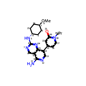 CO[C@H]1CC[C@H](Nc2ncc3c(N)ncc(-c4ccn(C(C)C)c(=O)c4)c3n2)CC1